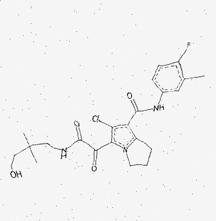 Cc1cc(NC(=O)c2c(Cl)c(C(=O)C(=O)NCC(C)(C)CO)n3c2CCC3)ccc1F